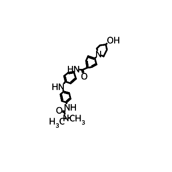 CN(C)C(=O)Nc1ccc(Nc2ccc(NC(=O)c3ccc(N4CCC(O)CC4)cc3)cc2)cc1